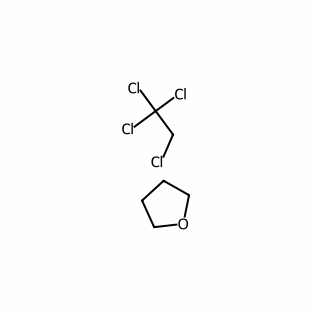 C1CCOC1.ClCC(Cl)(Cl)Cl